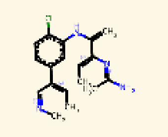 C=C(Nc1cc(C(/C=N\C)=C/C)ccc1Cl)C(=C/C)/N=C(\C)N